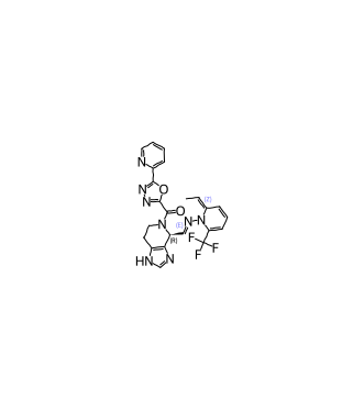 C/C=C1/C=CC=C(C(F)(F)F)N1/N=C/[C@H]1c2nc[nH]c2CCN1C(=O)c1nnc(-c2ccccn2)o1